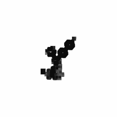 CC(C)(CNc1nc(-c2ccc(-c3ccc(F)cc3)cc2)c(-c2cncnc2)s1)C(=O)O